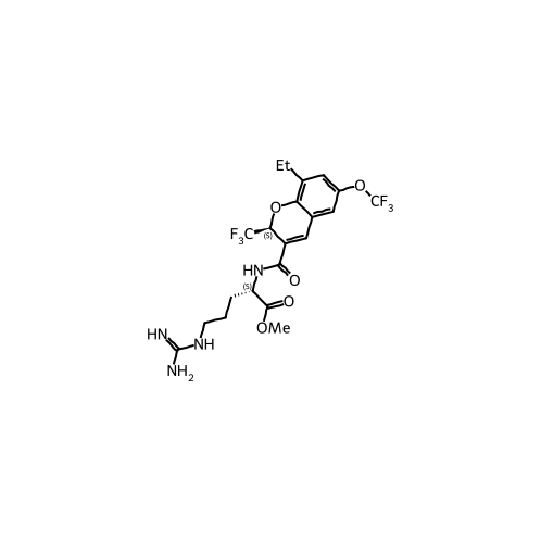 CCc1cc(OC(F)(F)F)cc2c1O[C@H](C(F)(F)F)C(C(=O)N[C@@H](CCCNC(=N)N)C(=O)OC)=C2